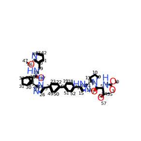 COC(=O)N[C@H](C(=O)N1CCC[C@H]1c1ncc(-c2ccc(-c3ccc(-c4cnc([C@H]5C6CCC(C6)[C@@H]5C(=O)NCc5cccnc5OC)[nH]4)cc3)cc2)[nH]1)[C@@H](C)OC